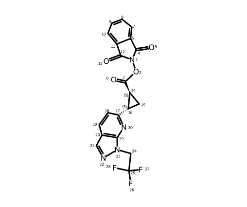 O=C(ON1C(=O)c2ccccc2C1=O)[C@H]1C[C@@H]1c1ccc2cnn(CC(F)(F)F)c2n1